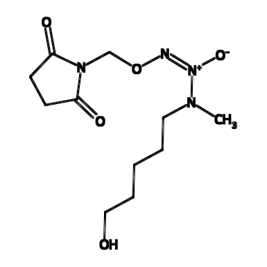 CN(CCCCCO)/[N+]([O-])=N\OCN1C(=O)CCC1=O